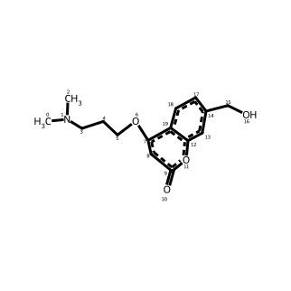 CN(C)CCCOc1cc(=O)oc2cc(CO)ccc12